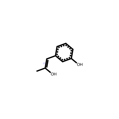 C/C(O)=C/c1cccc(O)c1